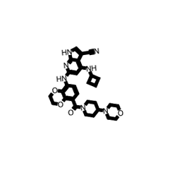 N#Cc1c[nH]c2nc(Nc3ccc(C(=O)N4CCC(N5CCOCC5)CC4)c4c3OCCO4)cc(NC3CCC3)c12